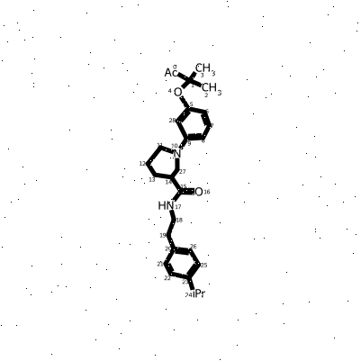 CC(=O)C(C)(C)Oc1cccc(N2CCCC(C(=O)NCCc3ccc(C(C)C)cc3)C2)c1